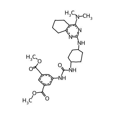 COC(=O)c1cc(NC(=O)NC2CCC(Nc3nc4c(c(N(C)C)n3)CCCC4)CC2)cc(C(=O)OC)c1